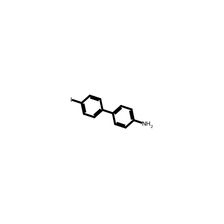 Nc1ccc(-c2ccc(I)cc2)cc1